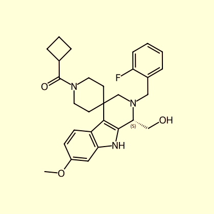 COc1ccc2c3c([nH]c2c1)[C@@H](CO)N(Cc1ccccc1F)CC31CCN(C(=O)C2CCC2)CC1